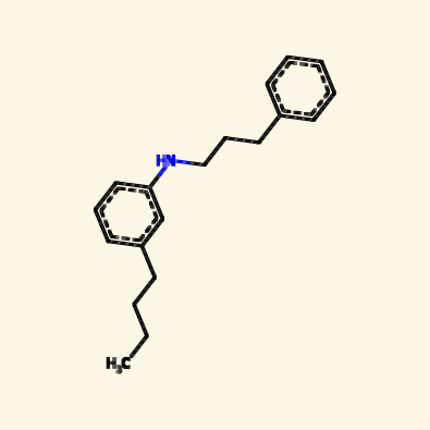 CCCCc1cccc(NCCCc2ccccc2)c1